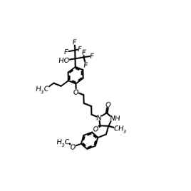 CCCc1cc(C(O)(C(F)(F)F)C(F)(F)F)ccc1OCCCCN1C(=O)NC(C)(Cc2ccc(OC)cc2)C1=O